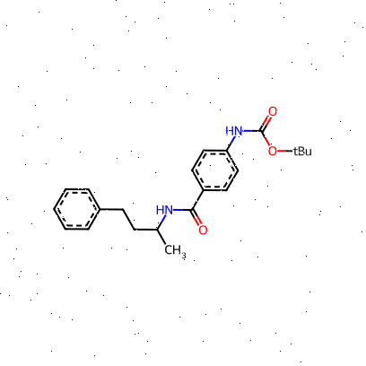 CC(CCc1ccccc1)NC(=O)c1ccc(NC(=O)OC(C)(C)C)cc1